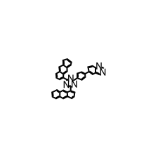 c1ccc2cc3c(-c4nc(-c5ccc(-c6ccc7ncncc7c6)cc5)nc(-c5cccc6cc7ccccc7cc56)n4)cccc3cc2c1